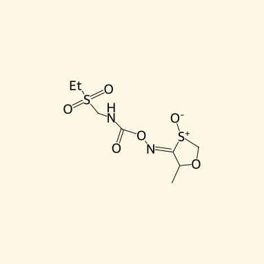 CCS(=O)(=O)CNC(=O)ON=C1C(C)OC[S+]1[O-]